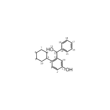 Oc1ccc(C2CCCCC2)c(C(O)c2ccccc2)c1